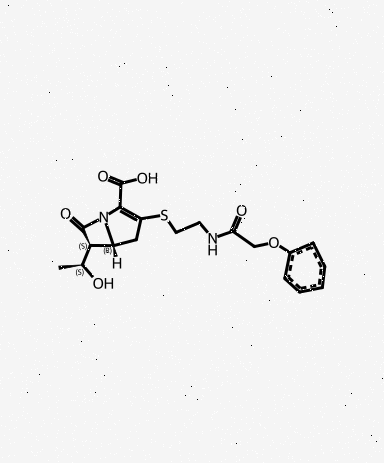 C[C@H](O)[C@H]1C(=O)N2C(C(=O)O)=C(SCCNC(=O)COc3ccccc3)C[C@H]12